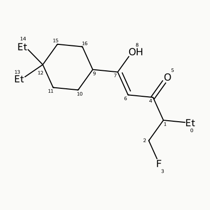 CCC(CF)C(=O)/C=C(\O)C1CCC(CC)(CC)CC1